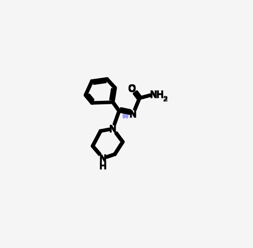 NC(=O)/N=C(\c1ccccc1)N1CCNCC1